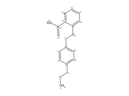 CCCc1ccc(COc2cccnc2C(=O)O)cc1